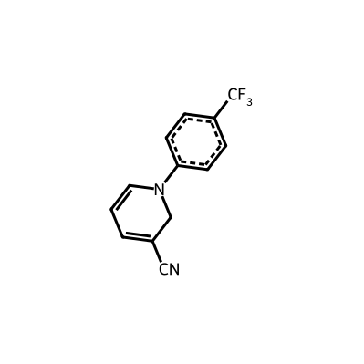 N#CC1=CC=CN(c2ccc(C(F)(F)F)cc2)C1